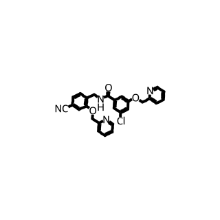 N#Cc1ccc(CNC(=O)c2cc(Cl)cc(OCc3ccccn3)c2)c(OCc2ccccn2)c1